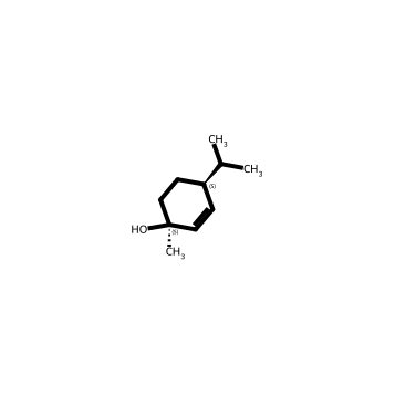 CC(C)[C@H]1C=C[C@@](C)(O)CC1